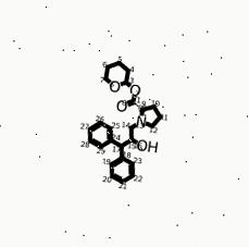 O=C(OC1CCCCO1)[C@@H]1CCCN1CC(O)C(c1ccccc1)c1ccccc1